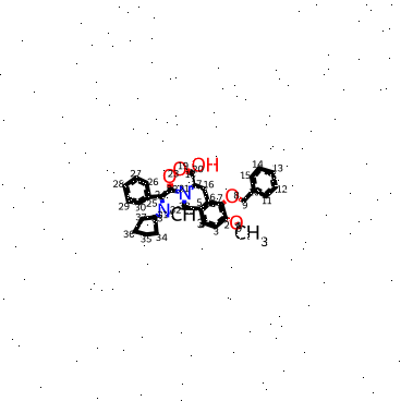 COc1ccc2c(c1OCc1ccccc1)C[C@H](C(=O)O)N(C(=O)C(c1ccccc1)N(C)C1CCCC1)C2